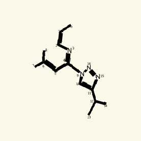 C/C=C\N=C(/C=C(C)C)n1cc(C(C)C)nn1